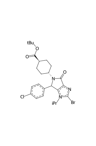 CC(C)n1c(Br)nc2c1C(c1ccc(Cl)cc1)N([C@H]1CC[C@H](C(=O)OC(C)(C)C)CC1)C2=O